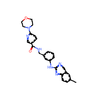 Cc1ccc2nc(Nc3cccc(CNC(=O)c4ccc(N5CCOCC5)nc4)c3)ncc2c1